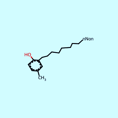 CCCCCCCCCCCCCCCCCc1cc(C)ccc1O